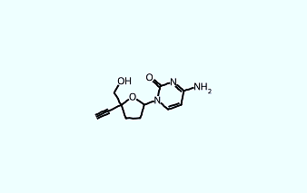 C#CC1(CO)CCC(n2ccc(N)nc2=O)O1